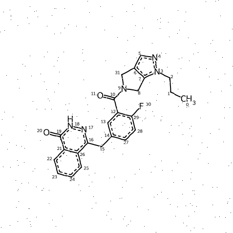 CCCn1ncc2c1CN(C(=O)c1cc(Cc3n[nH]c(=O)c4ccccc34)ccc1F)C2